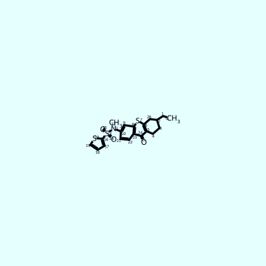 CCC1CCc2c(sc3cc(N(C)S(=O)(=O)c4cccs4)ccc3c2=O)C1